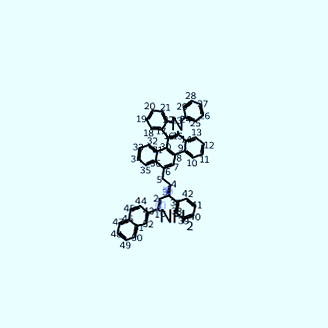 N/C(=C\C(=C/Cc1cc2c3ccccc3c3c(c4ccccc4n3-c3ccccc3)c2c2ccccc12)c1ccccc1)c1ccc2ccccc2c1